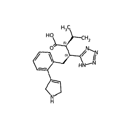 CC(C)[C@H](C(=O)O)[C@H](Cc1ccccc1C1=CCNC1)c1nnn[nH]1